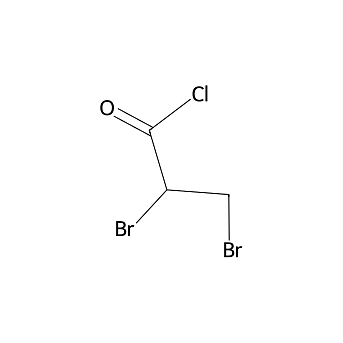 O=C(Cl)C(Br)CBr